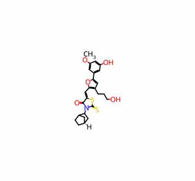 COc1cc(O)cc(-c2cc(CCCO)c(/C=C3\SC(=S)N(C4C[C@H]5CCC4C5)C3=O)o2)c1